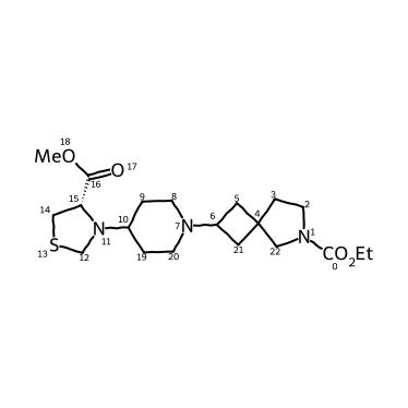 CCOC(=O)N1CCC2(CC(N3CCC(N4CSC[C@@H]4C(=O)OC)CC3)C2)C1